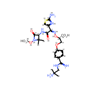 CC(C)(N)CNC(=N)c1ccc(OC[C@H](O/N=C(\C(=O)N[C@@H]2C(=O)N(OS(=O)(=O)O)C2(C)C)c2csc(N)n2)C(=O)O)cc1